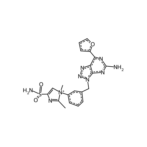 CC1=NC(S(N)(=O)=O)=C[N+]1(C)c1cccc(Cn2nnc3c(-c4ccco4)nc(N)nc32)c1